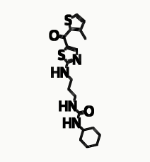 Cc1ccsc1C(=O)c1cnc(NCCCNC(=O)NC2CCCCC2)s1